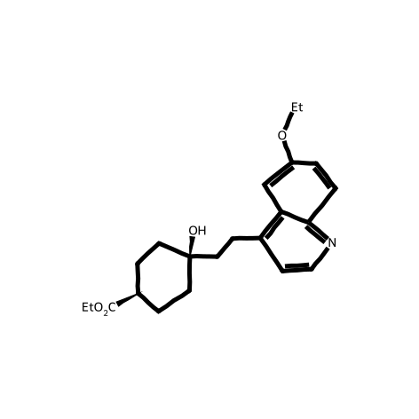 CCOc1ccc2nccc(CC[C@]3(O)CC[C@@H](C(=O)OCC)CC3)c2c1